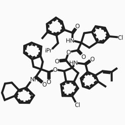 CC(C)=Cc1c(C)cccc1C(=O)NC1(C(=O)OC(=O)C2(NC(=O)c3cccc(C)c3CC(C)C)Cc3ccc(Cl)cc3C2)Cc2cc(Cl)ccc2C1OC(=O)C1(C(=O)Nc2cccc3c2CCCC3)Cc2ccccc2C1